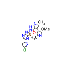 COc1cnc(C)cc1-c1cc(C)ncc1C(=O)Nc1nc2ncc(-c3ccc(Cl)cn3)nc2s1